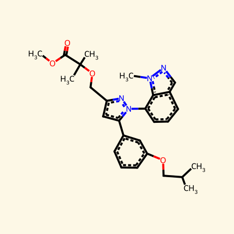 COC(=O)C(C)(C)OCc1cc(-c2cccc(OCC(C)C)c2)n(-c2cccc3cnn(C)c23)n1